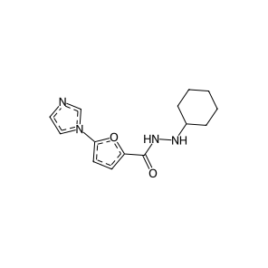 O=C(NNC1CCCCC1)c1ccc(-n2ccnc2)o1